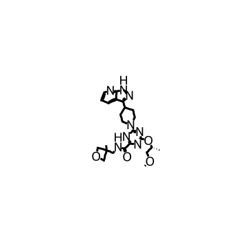 COC[C@@H](C)Oc1nc(C(=O)NCC2(C)COC2)nc(N2CCC(c3n[nH]c4ncccc34)CC2)n1